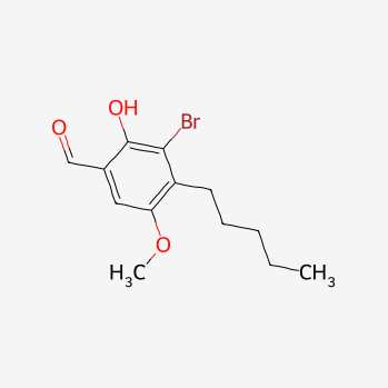 CCCCCc1c(OC)cc(C=O)c(O)c1Br